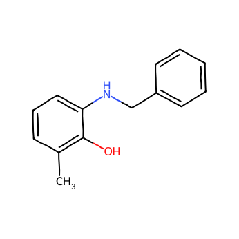 Cc1cccc(NCc2ccccc2)c1O